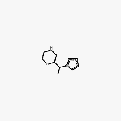 CC(C1CNCCO1)n1[c]ncc1